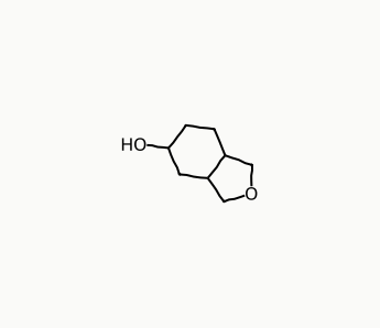 OC1CCC2COCC2C1